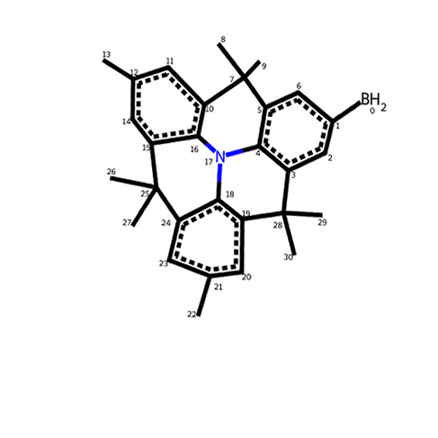 Bc1cc2c3c(c1)C(C)(C)c1cc(C)cc4c1N3c1c(cc(C)cc1C4(C)C)C2(C)C